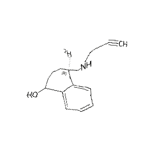 [2H][C@@]1(NCC#C)CC(O)c2ccccc21